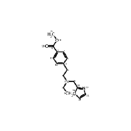 CCN(CCc1ccc(C(=O)OC)cc1)Cc1ncco1